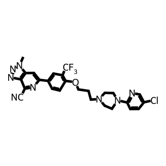 Cn1nnc2c(C#N)nc(-c3ccc(OCCCN4CCN(c5ccc(Cl)cn5)CC4)c(C(F)(F)F)c3)cc21